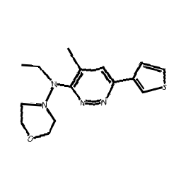 CCN(c1nnc(-c2ccsc2)cc1C)N1CCOCC1